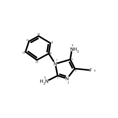 Nc1nc(F)c(N)n1-c1ccccc1